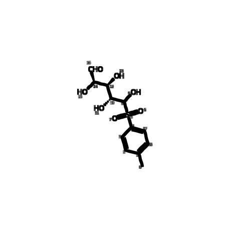 Cc1ccc(S(=O)(=O)C(O)[C@H](O)[C@H](O)[C@@H](O)C=O)cc1